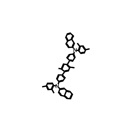 Cc1ccc(N(c2ccc(-c3cc(C)c(-c4ccc(N(c5ccc6ccccc6c5)c5ccc(C)cc5C)cc4)cc3C)cc2)c2ccc3ccccc3c2)c(C)c1